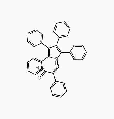 NC(=O)C(=C[SiH]1C(c2ccccc2)=C(c2ccccc2)C(c2ccccc2)=C1c1ccccc1)c1ccccc1